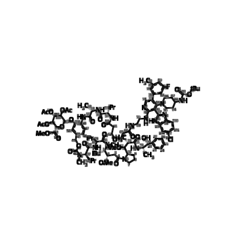 CC[C@@H](C)[C@H]([C@H](CC(=O)N1CCC[C@@H]1[C@@H](OC)[C@H](C)C(=O)N[C@@H](C)[C@H](O)c1ccccc1)OC)N(C)C(=O)C(NC(=O)[C@@H](C(C)C)N(C)C(=O)OCc1ccc(NC(=O)[C@H](C)NC(=O)[C@@H](NC(=O)CCOCCC(=O)NCCNc2ncc(-c3cc(C)cc(F)c3)c(N3CCC(NC(=O)OC(C)(C)C)CC3)c2-c2nc3ccc(Cl)cc3[nH]2)C(C)C)c(O[C@@H]2O[C@H](C(=O)OC)[C@@H](OC(C)=O)[C@H](OC(C)=O)[C@H]2OC(C)=O)c1)C(C)C